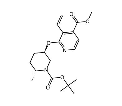 C=Cc1c(C(=O)OC)ccnc1O[C@@H]1CC[C@@H](C)N(C(=O)OC(C)(C)C)C1